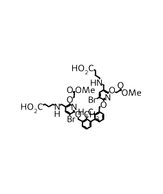 COC(=O)COc1nc(OCc2cccc(-c3cccc(COc4nc(OCC(=O)OC)c(CNCCCC(=O)O)cc4Br)c3C)c2C)c(Br)cc1CNCCCC(=O)O